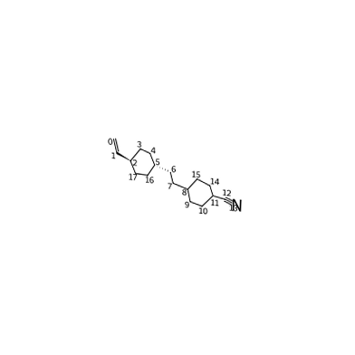 C=C[C@H]1CC[C@H](CCC2CCC(C#N)CC2)CC1